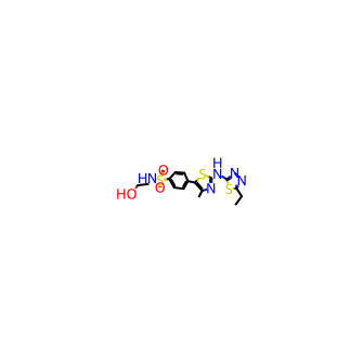 CCc1nnc(Nc2nc(C)c(-c3ccc(S(=O)(=O)NCCO)cc3)s2)s1